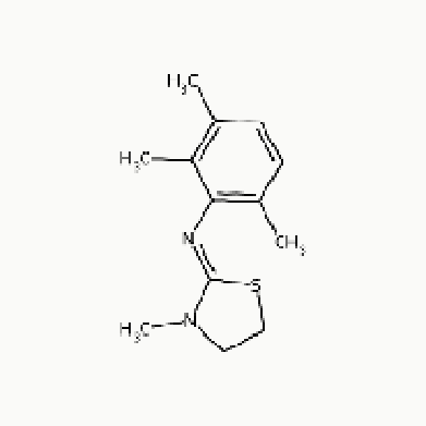 Cc1ccc(C)c(N=C2SCCN2C)c1C